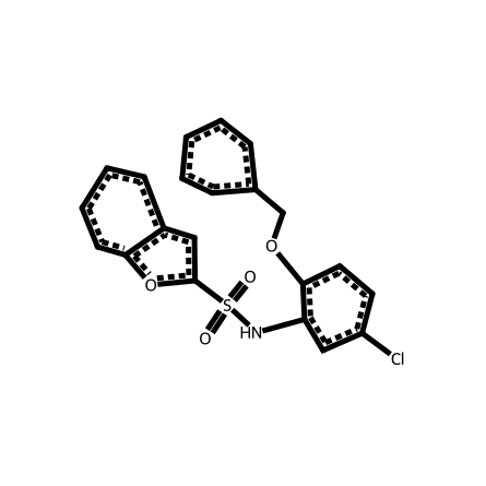 O=S(=O)(Nc1cc(Cl)ccc1OCc1ccccc1)c1cc2ccccc2o1